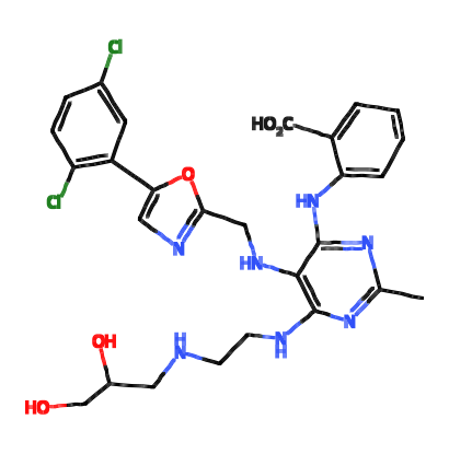 Cc1nc(NCCNCC(O)CO)c(NCc2ncc(-c3cc(Cl)ccc3Cl)o2)c(Nc2ccccc2C(=O)O)n1